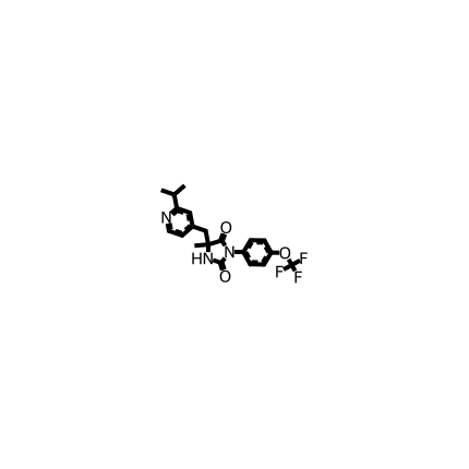 CC(C)c1cc(CC2(C)NC(=O)N(c3ccc(OC(F)(F)F)cc3)C2=O)ccn1